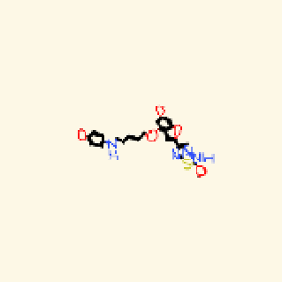 COc1ccc(NCCCCCOc2cc(OC)cc3oc(-c4cn5c(n4)SC(OC)N5)cc23)cc1